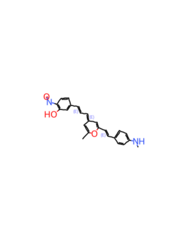 CNc1ccc(/C=C/C2=CC(=C/C=C/c3ccc(N=O)c(O)c3)/C=C(C)O2)cc1